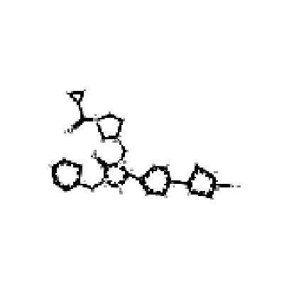 O=C(C1CC1)N1CC[C@@H](Cn2c(-c3ccc(-c4ccc(F)cc4)cc3)nn(Cc3ccccc3)c2=O)C1